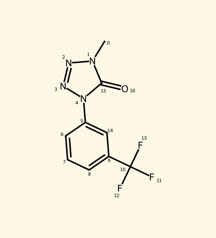 Cn1nnn(-c2cccc(C(F)(F)F)c2)c1=O